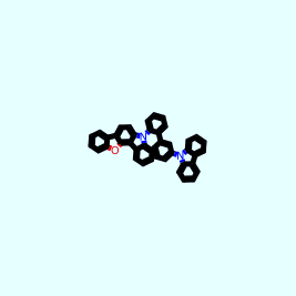 c1cc(-c2ccccc2-n2c3ccccc3c3c4oc5ccccc5c4ccc32)cc(-n2c3ccccc3c3ccccc32)c1